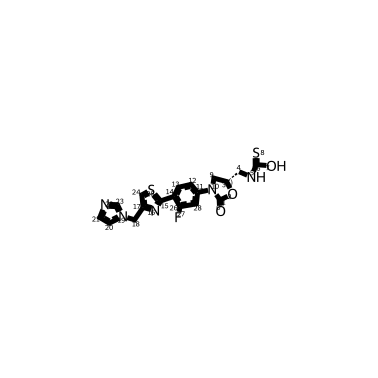 O=C1O[C@@H](CNC(O)=S)CN1c1ccc(-c2nc(Cn3ccnc3)cs2)c(F)c1